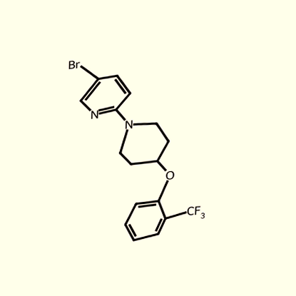 FC(F)(F)c1ccccc1OC1CCN(c2ccc(Br)cn2)CC1